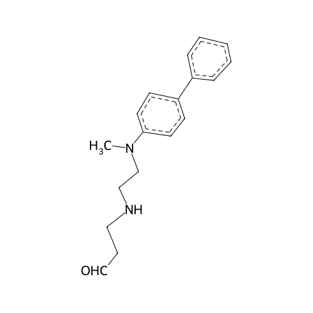 CN(CCNCCC=O)c1ccc(-c2ccccc2)cc1